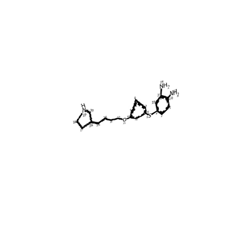 Nc1ccc(Sc2cccc(OCCCCC3CCNC3)c2)cc1N